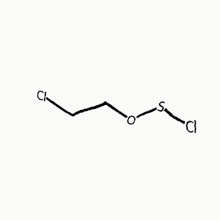 ClCCOSCl